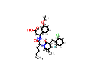 CCCC[C@@H](C(=O)N[C@@H](CC(=O)O)c1cccc(OCC)c1)n1cc(C)cc(Cc2c(F)cccc2Cl)c1=O